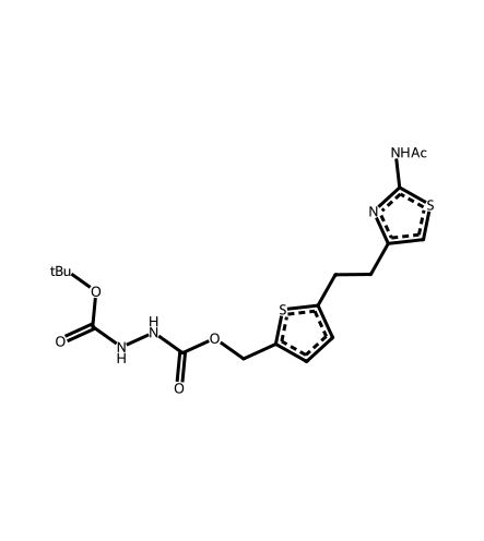 CC(=O)Nc1nc(CCc2ccc(COC(=O)NNC(=O)OC(C)(C)C)s2)cs1